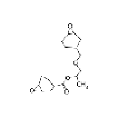 CC(COCC1CCC2OC2C1)OC(=O)C1CCC2OC2C1